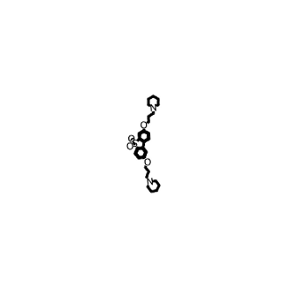 O=S1(=O)c2ccc(OCCCN3CCCCC3)cc2-c2ccc(OCCCN3CCCCC3)cc21